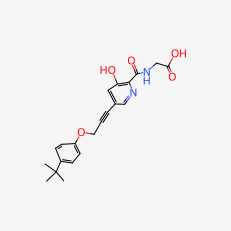 CC(C)(C)c1ccc(OCC#Cc2cnc(C(=O)NCC(=O)O)c(O)c2)cc1